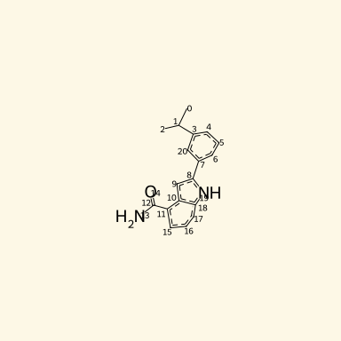 CC(C)c1cccc(-c2cc3c(C(N)=O)cccc3[nH]2)c1